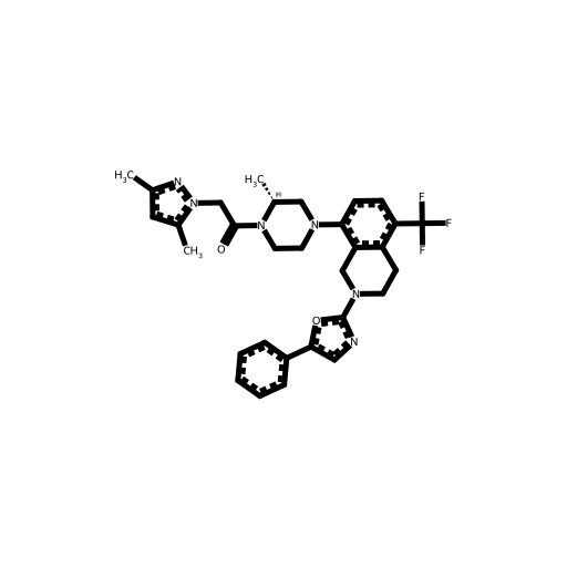 Cc1cc(C)n(CC(=O)N2CCN(c3ccc(C(F)(F)F)c4c3CN(c3ncc(-c5ccccc5)o3)CC4)C[C@H]2C)n1